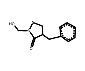 O=C1C(Cc2ccccc2)CSN1CO